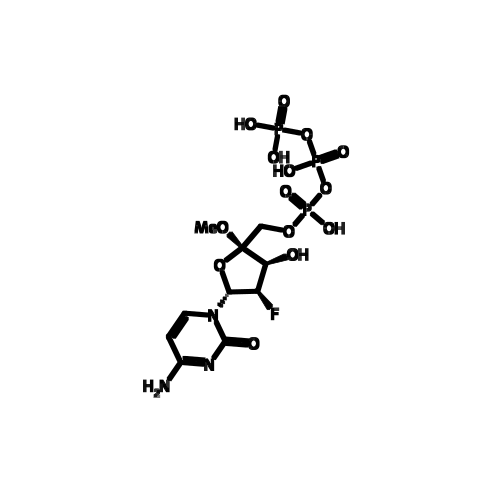 CO[C@]1(COP(=O)(O)OP(=O)(O)OP(=O)(O)O)O[C@@H](n2ccc(N)nc2=O)[C@H](F)[C@@H]1O